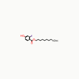 CCCCCCCCCCCCCCCCCCOC(=O)c1ccc(O)cc1I